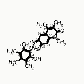 Cc1c(C)c(C)c(-n2nc3cc4c(C)c(C)c(=O)n(C)c4cc3n2)c(O)c1C